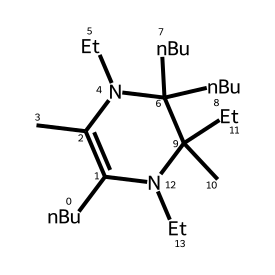 CCCCC1=C(C)N(CC)C(CCCC)(CCCC)C(C)(CC)N1CC